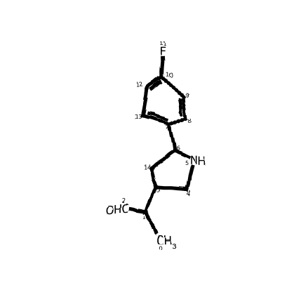 CC(C=O)C1CNC(c2ccc(F)cc2)C1